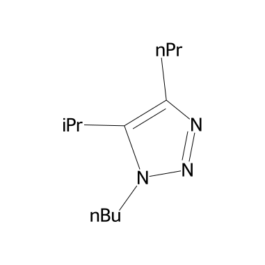 CCCCn1nnc(CCC)c1C(C)C